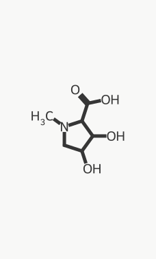 CN1CC(O)C(O)C1C(=O)O